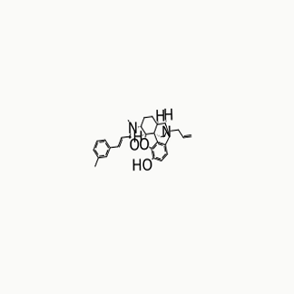 C=CCN1CC[C@]23c4c5ccc(O)c4O[C@H]2[C@H](N(C)C(=O)C=Cc2cccc(C)c2)CC[C@H]3[C@H]1C5